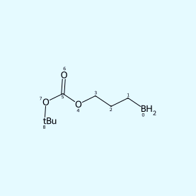 BCCCOC(=O)OC(C)(C)C